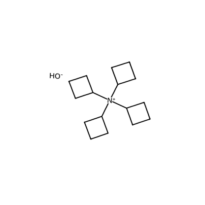 C1CC([N+](C2CCC2)(C2CCC2)C2CCC2)C1.[OH-]